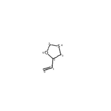 C=CC1CS[CH]O1